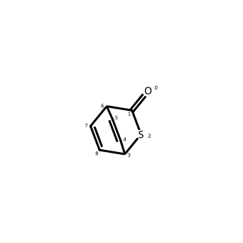 O=C1SC2C=CC1C=C2